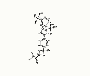 CC(C)C(=O)N1CC(F)(c2ccc(C3=NOC(c4cccc(C(F)(F)F)c4)(C(F)(F)F)C3)cc2)C1